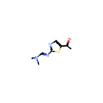 CC(=O)c1cnc(/N=C/N(C)C)s1